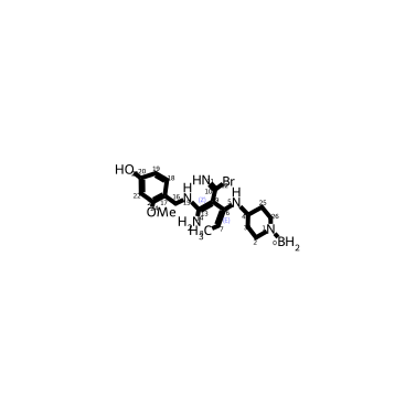 BN1CCC(NC(=C/C)/C(C(=N)Br)=C(\N)NCc2ccc(O)cc2OC)CC1